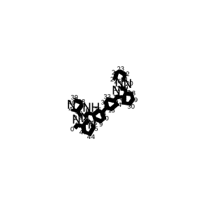 C=C(/N=C(\N=C(/N)c1cccc(-c2ccc(-c3nc4c(nc5ccccn54)c4ccccc34)cc2)c1)c1cccnc1)c1cccnc1